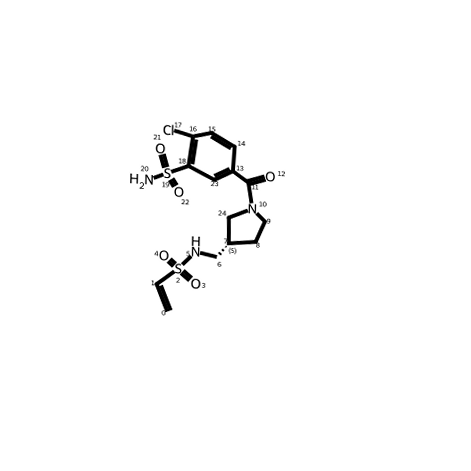 C=CS(=O)(=O)NC[C@H]1CCN(C(=O)c2ccc(Cl)c(S(N)(=O)=O)c2)C1